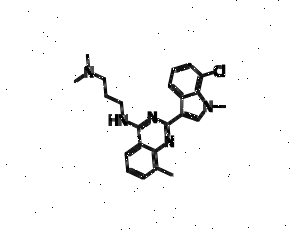 Cc1cccc2c(NCCCN(C)C)nc(-c3cn(C)c4c(Cl)cccc34)nc12